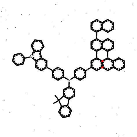 CC1(C)c2ccccc2-c2ccc(N(c3ccc(-c4cccc(-c5ccc(-c6cccc7ccccc67)c6cccc(-c7cccc8ccccc78)c56)c4)cc3)c3ccc(-c4ccc5c(c4)c4ccccc4n5-c4ccccc4)cc3)cc21